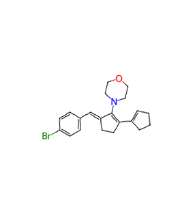 Brc1ccc(/C=C2\CCC(C3=CCCC3)=C2N2CCOCC2)cc1